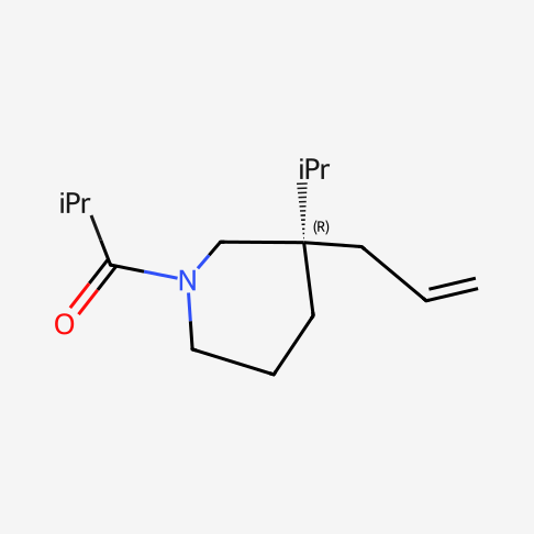 C=CC[C@@]1(C(C)C)CCCN(C(=O)C(C)C)C1